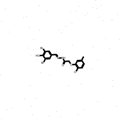 Cc1ccc(Cl)c(OCC(=O)N/N=C/c2cc(Br)c(O)c(Br)c2)c1